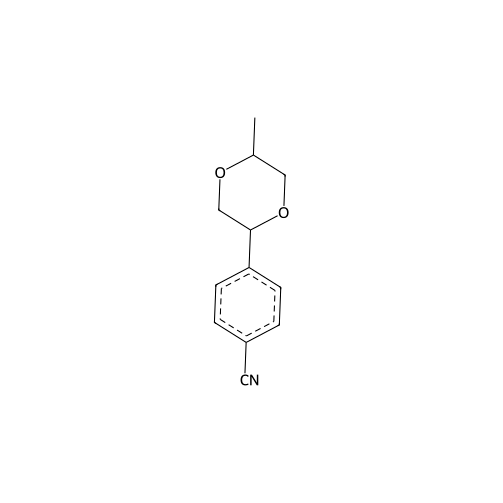 CC1COC(c2ccc(C#N)cc2)CO1